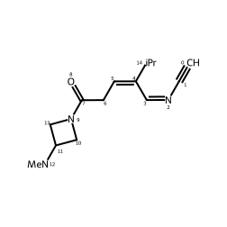 C#C/N=C\C(=C/CC(=O)N1CC(NC)C1)C(C)C